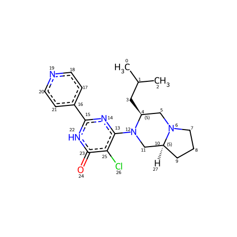 CC(C)C[C@H]1CN2CCC[C@H]2CN1c1nc(-c2ccncc2)[nH]c(=O)c1Cl